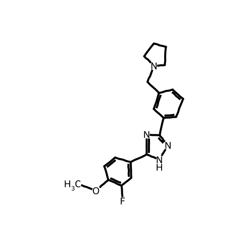 COc1ccc(-c2nc(-c3cccc(CN4CCCC4)c3)n[nH]2)cc1F